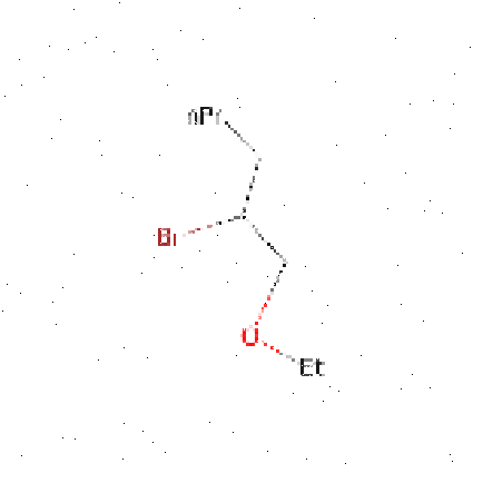 CCCCC(Br)COCC